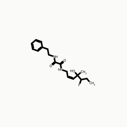 CCC(F)C(C)(O)/C=C\CNC(=O)C(=O)NCCc1ccccc1